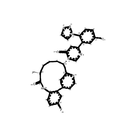 C[C@@H]1CCC[C@H](n2cnc(-c3cc(Cl)ccc3-n3ccnn3)cc2=O)c2cc(ccn2)-c2cc(F)ccc2NC1=O